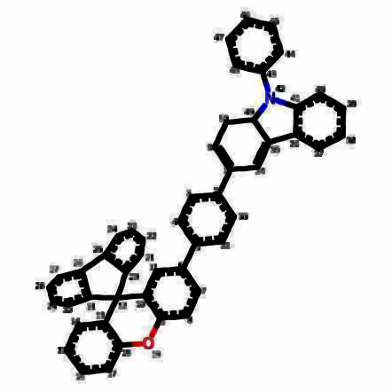 C1=C(c2ccc(-c3ccc4c(c3)C3(c5ccccc5O4)c4ccccc4-c4ccccc43)cc2)C=C2c3ccccc3N(c3ccccc3)C2C1